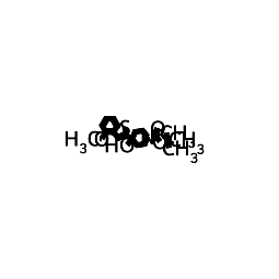 COc1cccc2sc(C3(O)CCN(C(=O)OC(C)(C)C)CC3)cc12